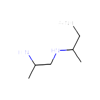 CC(=O)NCC(C)NCC(C)N